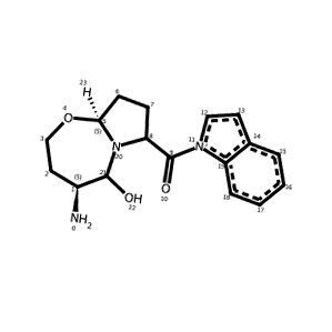 N[C@H]1CCO[C@H]2CCC(C(=O)n3ccc4ccccc43)N2C1O